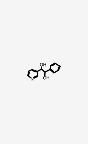 OC(c1ccccc1)C(O)c1cccnc1